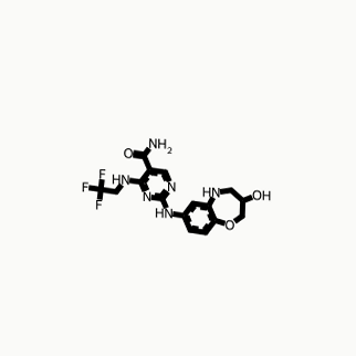 NC(=O)c1cnc(Nc2ccc3c(c2)NCC(O)CO3)nc1NCC(F)(F)F